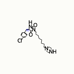 O=C1N/C(=C/c2ccc(Cl)cc2)C(=O)N1CCCCCCCCN1CCNCC1